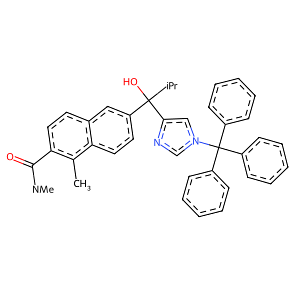 CNC(=O)c1ccc2cc(C(O)(c3cn(C(c4ccccc4)(c4ccccc4)c4ccccc4)cn3)C(C)C)ccc2c1C